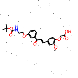 COc1cc(C=CC(=O)c2cccc(OCCNC(=O)OC(C)(C)C)c2)ccc1OCC(=O)O